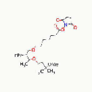 CCCC(COCCCCCCC(=O)ON1C(=O)CCC1=O)C(C)OCCC(C)(C)OC